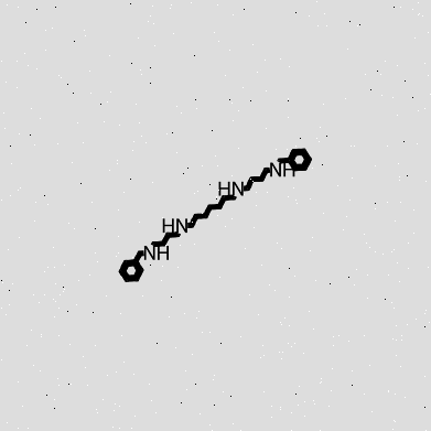 c1ccc(CNCCCCNCCCCCCCNCCCCNCc2ccccc2)cc1